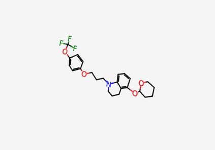 FC(F)(F)Oc1ccc(OCCCN2CCCc3c(OC4CCCCO4)cccc32)cc1